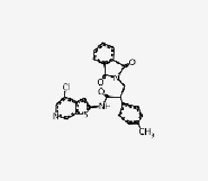 Cc1ccc(C(CN2C(=O)c3ccccc3C2=O)C(=O)Nc2cc3c(Cl)cncc3s2)cc1